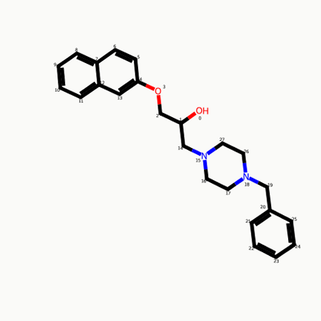 OC(COc1ccc2ccccc2c1)CN1CCN(Cc2ccccc2)CC1